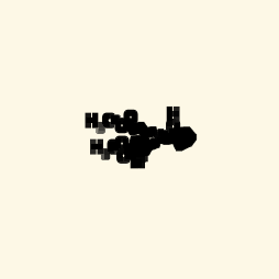 CCOC(=O)CCCCN(CCc1ccccc1O)Cc1ccc(C(=O)OC)c(Br)c1